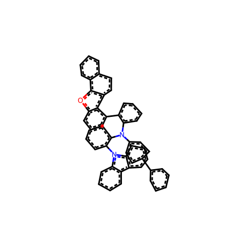 c1ccc(-c2ccc(N(c3ccccc3-c3cccc4oc5c6ccccc6ccc5c34)c3ccccc3-n3c4ccccc4c4ccccc43)cc2)cc1